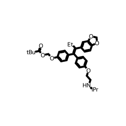 CC/C(=C(/c1ccc(OCCNC(C)C)cc1)c1ccc(OCOC(=O)C(C)(C)C)cc1)c1ccc2c(c1)OCO2